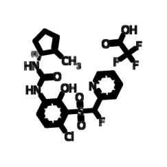 CC1=CCC[C@H]1NC(=O)Nc1ccc(Cl)c(S(=O)(=O)C(F)c2ccccn2)c1O.O=C(O)C(F)(F)F